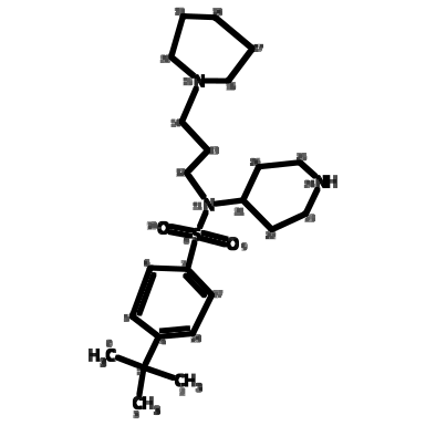 CC(C)(C)c1ccc(S(=O)(=O)N(CCCN2CCCCC2)C2CCNCC2)cc1